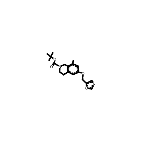 Cc1cc(OCc2cnco2)cc2c1CN(C(=O)OC(C)(C)C)CC2